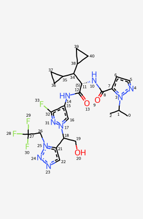 CC(C)n1nccc1C(=O)N[C@H](C(=O)Nc1cn(C(CO)c2cnnn2CC(F)(F)F)nc1F)C(C1CC1)C1CC1